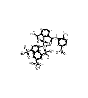 Cc1ccc([N+](=O)[O-])cc1NC(=O)c1cccc(C(=O)O)c1S(=O)(=O)Nc1ccc(S(=O)(=O)O)c2cc(S(=O)(=O)O)cc(S(=O)(=O)O)c12